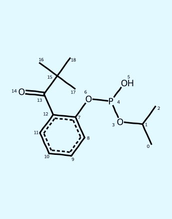 CC(C)OP(O)Oc1ccccc1C(=O)C(C)(C)C